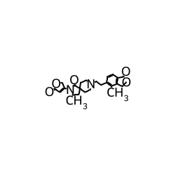 Cc1c(CCN2CCC3(CC2)C[C@H](C)N(C2=CC(=O)OC2)C3=O)ccc2c1COC2=O